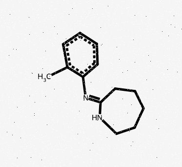 Cc1ccccc1N=C1CCCCCN1